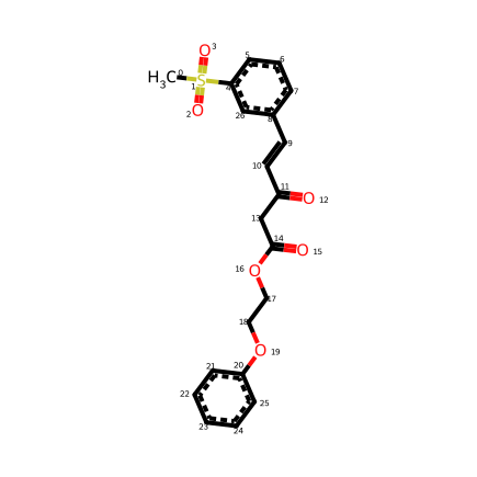 CS(=O)(=O)c1cccc(C=CC(=O)CC(=O)OCCOc2ccccc2)c1